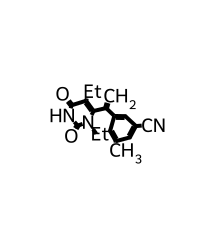 C=C(c1cc(C)cc(C#N)c1)c1c(CC)c(=O)[nH]c(=O)n1CC